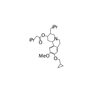 COc1cc2c(cc1OCC1CC1)CCN1CC(CC(C)C)C(OC(=O)CC(C)C)CC21